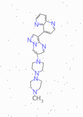 CN1CCN(N2CCN(c3cnc4c(-c5ccnc6cccnc56)cnn4c3)CC2)CC1